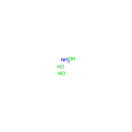 Cl.Cl.Cl.N